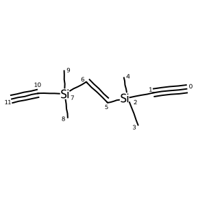 C#C[Si](C)(C)C=C[Si](C)(C)C#C